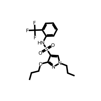 CCCOc1nn(CCC)cc1S(=O)(=O)Nc1ccccc1C(F)(F)F